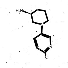 N[C@H]1CCCN(c2ccc(Cl)nc2)C1